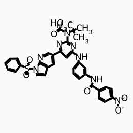 CC(C)(C)N(C(=O)O)c1nc(Nc2cccc(NC(=O)c3ccc([N+](=O)[O-])cc3)c2)cc(-c2cnc3c(ccn3S(=O)(=O)c3ccccc3)c2)n1